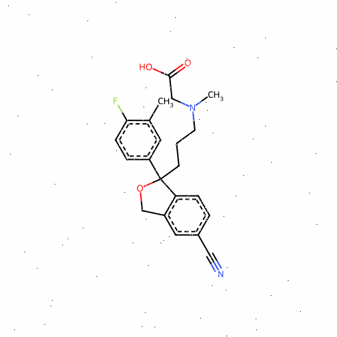 Cc1cc(C2(CCCN(C)CC(=O)O)OCc3cc(C#N)ccc32)ccc1F